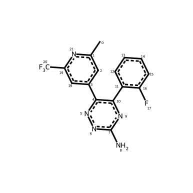 Cc1cc(-c2nnc(N)nc2-c2ccccc2F)cc(C(F)(F)F)n1